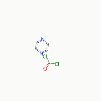 O=C(Cl)Cl.c1cnccn1